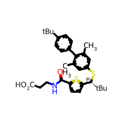 Cc1cc(S[C@@H](c2ccc(C(=O)NCCC(=O)O)s2)C(C)(C)C)cc(C)c1-c1ccc(C(C)(C)C)cc1